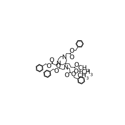 CC(C)(C)OC(=O)CCC1(N(CC(=O)OCc2ccccc2)CC(=O)OCc2ccccc2)CN(CC(=O)OCc2ccccc2)CCN(CC(=O)OCc2ccccc2)C1